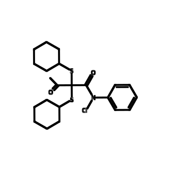 CC(=O)C(SC1CCCCC1)(SC1CCCCC1)C(=O)N(Cl)c1ccccc1